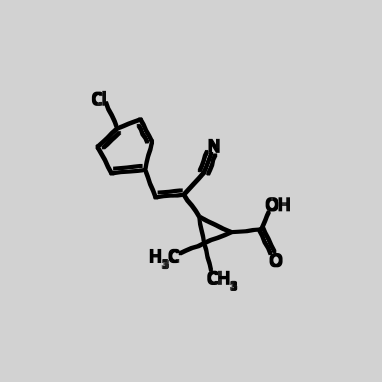 CC1(C)C(C(=O)O)C1/C(C#N)=C/c1ccc(Cl)cc1